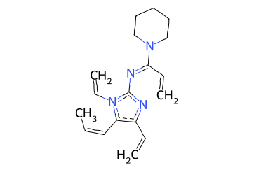 C=C/C(=N\c1nc(C=C)c(/C=C\C)n1C=C)N1CCCCC1